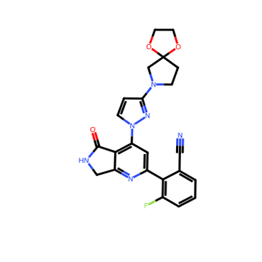 N#Cc1cccc(F)c1-c1cc(-n2ccc(N3CCC4(C3)OCCO4)n2)c2c(n1)CNC2=O